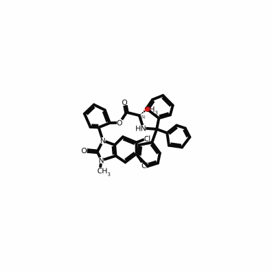 C[C@H](NC(c1ccccc1)(c1ccccc1)c1ccccc1)C(=O)Oc1ccccc1-n1c(=O)n(C)c2cc(Cl)c(Cl)cc21